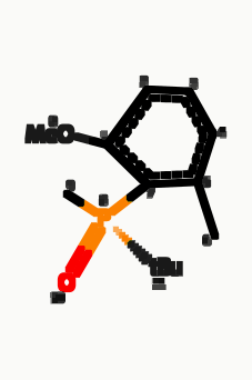 COc1cccc(C)c1[P@](C)(=O)C(C)(C)C